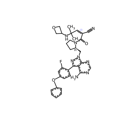 CC(C)(/C=C(/C#N)C(=O)N1CCC[C@@H]1Cn1nc(-c2ccc(Oc3ccccc3)cc2F)c2c(N)ncnc21)NC1COC1